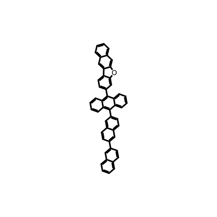 c1ccc2cc(-c3ccc4cc(-c5c6ccccc6c(-c6ccc7c(c6)oc6cc8ccccc8cc67)c6ccccc56)ccc4c3)ccc2c1